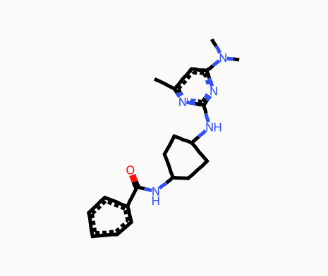 Cc1cc(N(C)C)nc(NC2CCC(NC(=O)c3ccccc3)CC2)n1